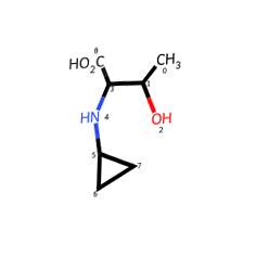 CC(O)C(NC1CC1)C(=O)O